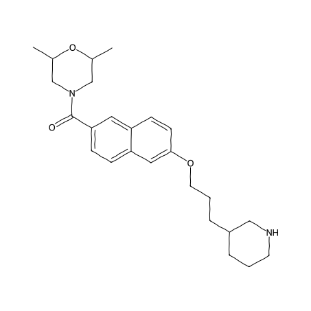 CC1CN(C(=O)c2ccc3cc(OCCCC4CCCNC4)ccc3c2)CC(C)O1